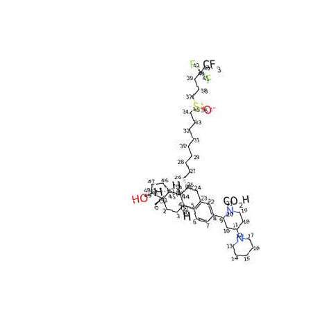 C[C@]12CC[C@@H]3c4ccc(C5CC(N6CCCCC6)CCN5C(=O)O)cc4C[C@@H](CCCCCCCCC[S+]([O-])CCCC(F)(F)C(F)(F)F)[C@H]3[C@@H]1CCC2O